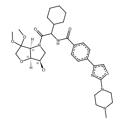 COC1(OC)CO[C@@H]2[C@H](Cl)CN(C(=O)C(NC(=O)c3ccc(-c4csc(N5CCN(C)CC5)n4)cc3)C3CCCCC3)[C@@H]21